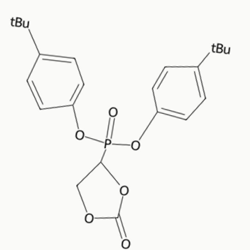 CC(C)(C)c1ccc(OP(=O)(Oc2ccc(C(C)(C)C)cc2)C2COC(=O)O2)cc1